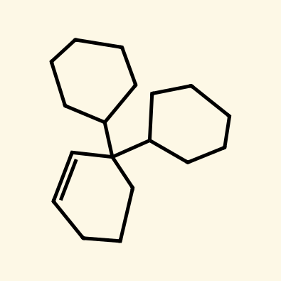 C1=CC(C2CCCCC2)(C2CCCCC2)CCC1